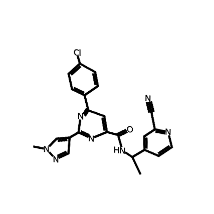 CC(NC(=O)c1cc(-c2ccc(Cl)cc2)nc(-c2cnn(C)c2)n1)c1ccnc(C#N)c1